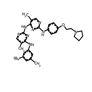 Cc1cc(Nc2nc(Nc3nc(Nc4ccc(OCCN5CCCC5)cc4)ncc3C)ncc2C)cc(C(C)(C)C)c1